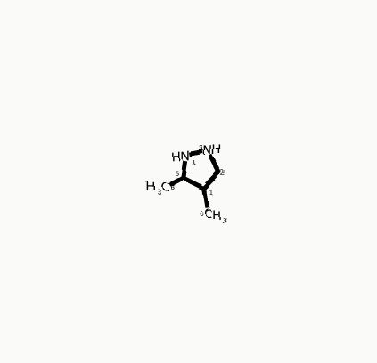 CC1CNNC1C